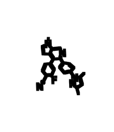 Cc1cc(C)n(-c2ccc(-c3ncc4c(ccn4C)c3-c3ccc(C#N)c(F)c3)cc2)n1